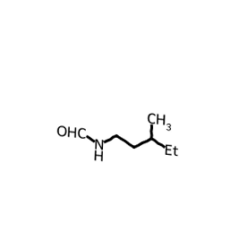 CCC(C)CCNC=O